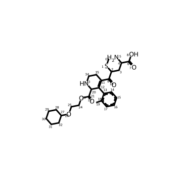 CSC(CC(N)C(=O)O)C(=O)C1=C(c2ccccc2C)C(C(=O)OCCOC2CCCCC2)NCC1